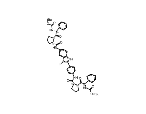 CC(C)(C)OC(=O)N[C@@H](C(=O)N1CCC[C@H]1C(=O)Nc1ccc(-c2[nH]c3ccc(NC(=O)[C@@H]4CCCN4C(=O)[C@H](NC(=O)OC(C)(C)C)c4ccccc4)cc3c2F)cc1)c1ccccc1